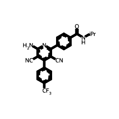 CC(C)NC(=O)c1ccc(-c2nc(N)c(C#N)c(-c3ccc(C(F)(F)F)cc3)c2C#N)cc1